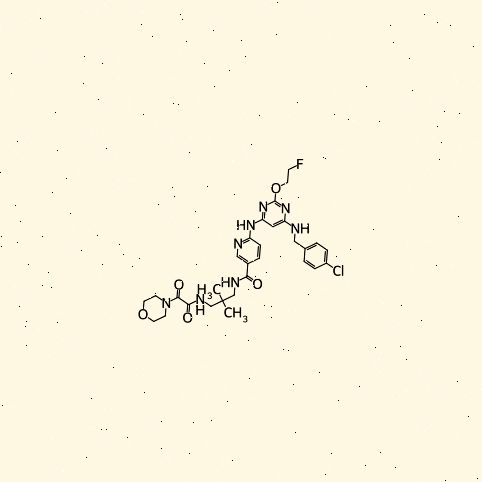 CC(C)(CNC(=O)C(=O)N1CCOCC1)CNC(=O)c1ccc(Nc2cc(NCc3ccc(Cl)cc3)nc(OCCF)n2)nc1